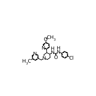 COc1ccc(C2CN(Cc3cncc(C)c3)CCC2NC(=O)Nc2ccc(Cl)cc2)nc1